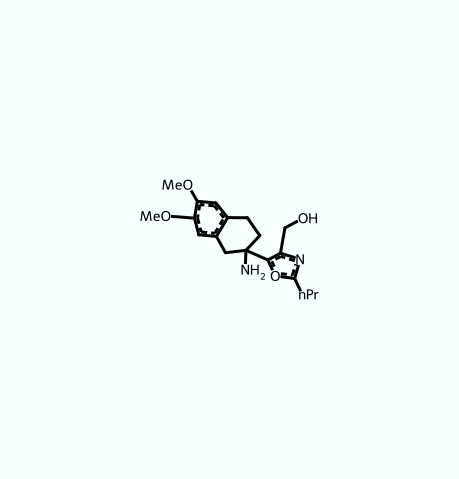 CCCc1nc(CO)c(C2(N)CCc3cc(OC)c(OC)cc3C2)o1